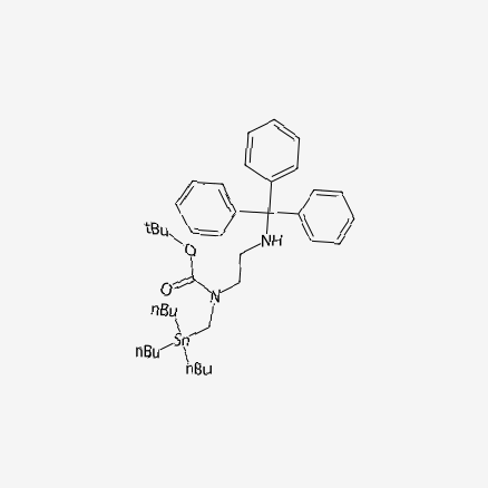 CCC[CH2][Sn]([CH2]CCC)([CH2]CCC)[CH2]N(CCNC(c1ccccc1)(c1ccccc1)c1ccccc1)C(=O)OC(C)(C)C